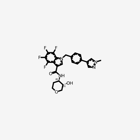 Cn1cc(-c2ccc(Cn3cc(C(=O)N[C@@H]4CCOC[C@H]4O)c4c(F)c(F)c(F)c(F)c43)cc2)cn1